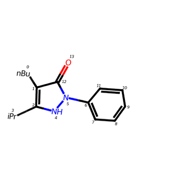 CCCCc1c(C(C)C)[nH]n(-c2ccccc2)c1=O